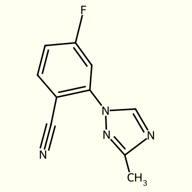 Cc1ncn(-c2cc(F)ccc2C#N)n1